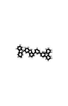 c1cc(-c2ccc3c4ccccc4c4ccccc4c3c2)cc(-c2cccc3c2Cc2ccc(-n4c5ccccc5c5ccccc54)cc2-3)c1